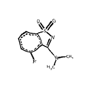 CN(C)C1=NS(=O)(=O)c2cccc(F)c21